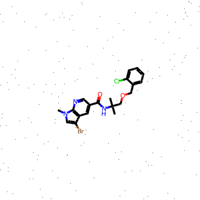 Cn1cc(Br)c2cc(C(=O)NC(C)(C)COCc3ccccc3Cl)cnc21